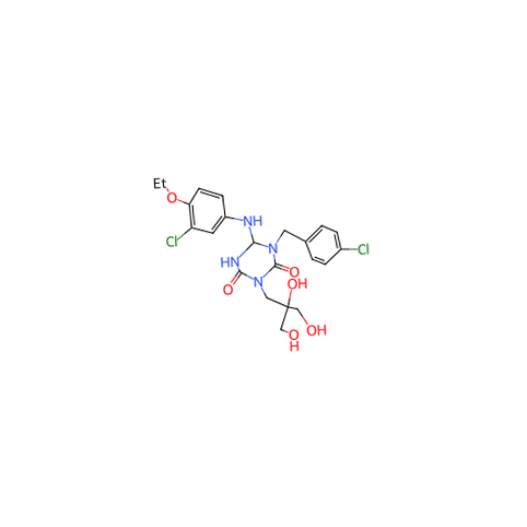 CCOc1ccc(NC2NC(=O)N(CC(O)(CO)CO)C(=O)N2Cc2ccc(Cl)cc2)cc1Cl